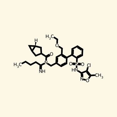 CCCCC(=N)N(Cc1ccc(-c2ccccc2S(=O)(=O)Nc2noc(C)c2Cl)c(COCC)c1)C(=O)C1CC2C[C@@H]2C1